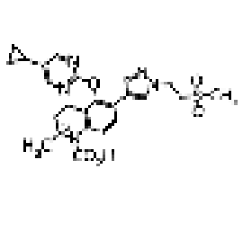 C[C@H]1CCc2c(ccc(-c3cnn(CCS(C)(=O)=O)c3)c2Oc2ncc(C3CC3)cn2)N1C(=O)O